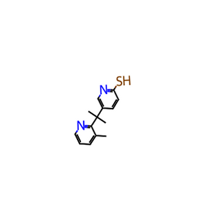 Cc1cccnc1C(C)(C)c1ccc(S)nc1